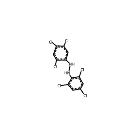 Clc1cc(Cl)c(NNc2cc(Cl)c(Cl)cc2Cl)c(Cl)c1